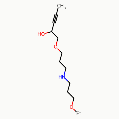 CC#CC(O)COCCCNCCCOCC